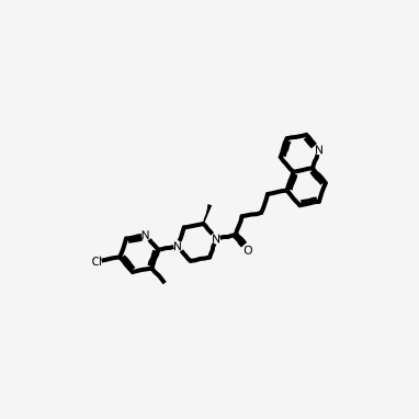 Cc1cc(Cl)cnc1N1CCN(C(=O)CCCc2cccc3ncccc23)[C@H](C)C1